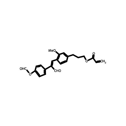 C=CC(=O)OCCCc1ccc(/C=C(\C=O)c2ccc(OC=O)cc2)c(OC)c1